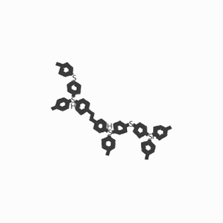 Cc1ccc(Sc2ccc([SH](c3ccc(C)cc3)c3ccc(CCc4ccc([SH](c5ccc(C)cc5)c5ccc(Sc6ccc([SH](c7ccc(C)cc7)c7ccc(C)cc7)cc6)cc5)cc4)cc3)cc2)cc1